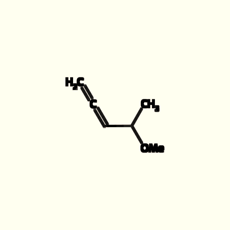 C=C=CC(C)OC